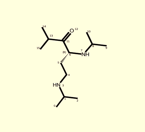 CC(C)NCC[C@@H](NC(C)C)C(=O)C(C)C